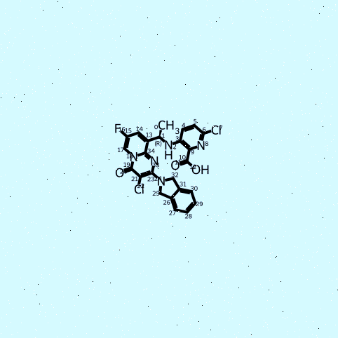 C[C@@H](Nc1ccc(Cl)nc1C(=O)O)c1cc(F)cn2c(=O)c(Cl)c(N3Cc4ccccc4C3)nc12